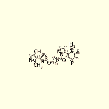 Cc1cnn(C)c1-c1csc(OC2CN(C(=O)N3N=CC[C@H]3C3C=C(F)C=C(F)C3C)C2)n1